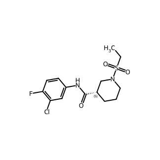 CCS(=O)(=O)N1CCC[C@H](C(=O)Nc2ccc(F)c(Cl)c2)C1